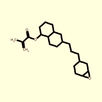 C=C(C)C(=O)OC1CCCC2CC(CCCC3CCC4OC4C3)CCC21